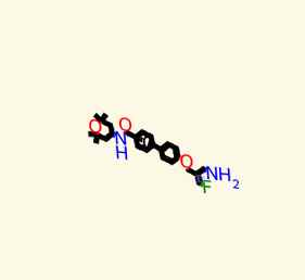 CC1(C)CC(NC(=O)C23CCC(c4ccc(OC/C(=C/F)CN)cc4)(CC2)CC3)CC(C)(C)O1